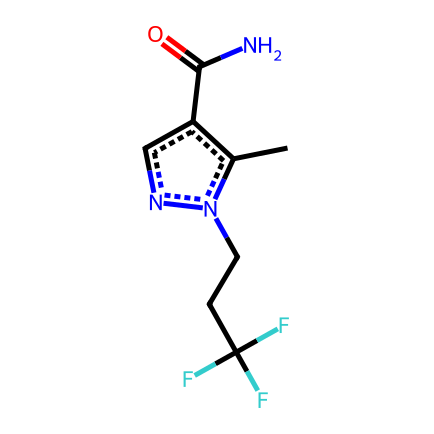 Cc1c(C(N)=O)cnn1CCC(F)(F)F